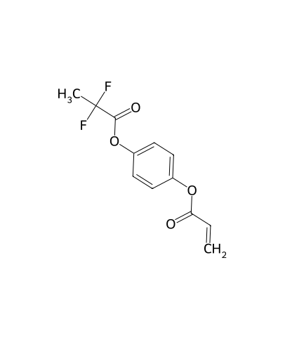 C=CC(=O)Oc1ccc(OC(=O)C(C)(F)F)cc1